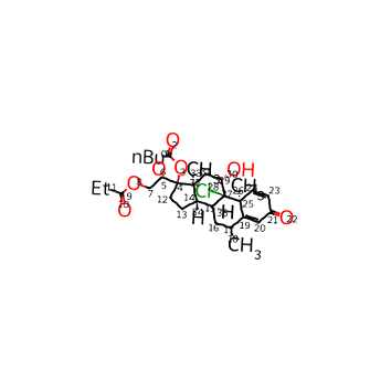 CCCCC(=O)O[C@]1(C(=O)COC(=O)CC)CC[C@H]2[C@@H]3C[C@H](C)C4=CC(=O)C=C[C@]4(C)[C@@]3(Cl)[C@@H](O)C[C@@]21C